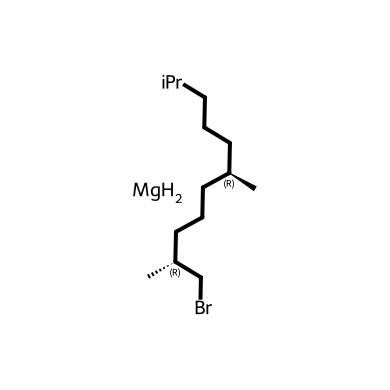 CC(C)CCC[C@@H](C)CCC[C@@H](C)CBr.[MgH2]